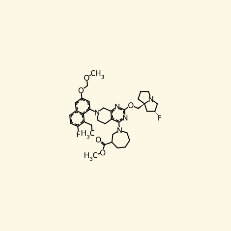 CCc1c(F)ccc2cc(OCOC)cc(N3CCc4c(nc(OC[C@@]56CCCN5C[C@H](F)C6)nc4N4CCCCC(C(=O)OC)C4)C3)c12